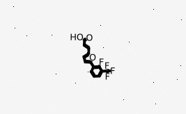 O=C(O)/C=C/c1ccc(-c2cccc(C(F)(F)F)c2F)o1